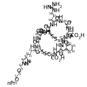 CCCOCCOCCn1cc(CCCC(=O)N[C@H]2CSSC[C@@H](C(=O)O)NC(=O)[C@H](Cc3ccccc3)NC(=O)[C@@H]3CSSC[C@H](NC(=O)[C@H](CC(=O)O)NC2=O)C(=O)N[C@@H](CCCNC(=N)N)C(=O)NCC(=O)N[C@@H](CC(=O)O)C(=O)N3)nn1